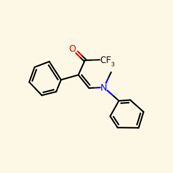 CN(/C=C(\C(=O)C(F)(F)F)c1ccccc1)c1ccccc1